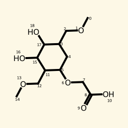 COCC1CC(OCC(=O)O)C(COC)C(O)C1O